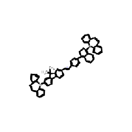 CC1(C)c2cc(/C=C/c3ccc(C4=c5ccccc5=C(N5c6ccccc6C=Cc6ccccc65)CC4)cc3)ccc2-c2ccc(N3c4c#cccc4C=Cc4ccccc43)cc21